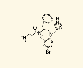 CN(C)CCC(=O)N1Cc2cc(Br)ccc2N(Cc2c[nH]cn2)CC1Cc1ccccc1